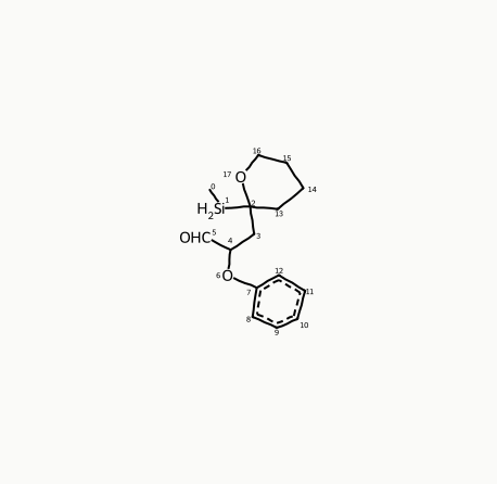 C[SiH2]C1(CC(C=O)Oc2ccccc2)CCCCO1